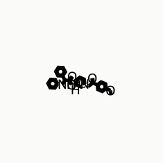 COc1ccc(C(=O)C[N+]23CCC(CC2)[C@@H](OC(=O)C(Nc2ccccc2)c2ccccc2)C3)cc1